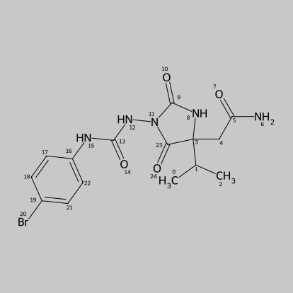 CC(C)C1(CC(N)=O)NC(=O)N(NC(=O)Nc2ccc(Br)cc2)C1=O